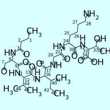 CCCC(=O)NC(CO)C(=O)NC(C(=O)NC(C(=O)NCC(=O)NC(CCCCN)C(=O)NC(C(=O)O)C(C)O)C(C)CC)C(C)C